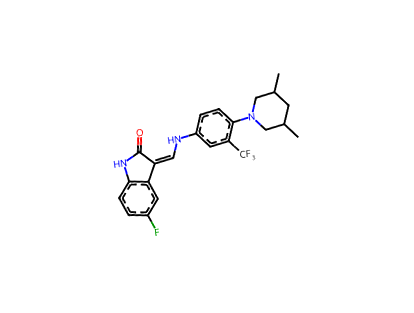 CC1CC(C)CN(c2ccc(NC=C3C(=O)Nc4ccc(F)cc43)cc2C(F)(F)F)C1